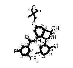 CC1(COc2cc(NC(=O)c3cc(F)cc(C(F)(F)F)c3)c3c(c2)C(O)NC3c2cc(F)ccc2Cl)COC1